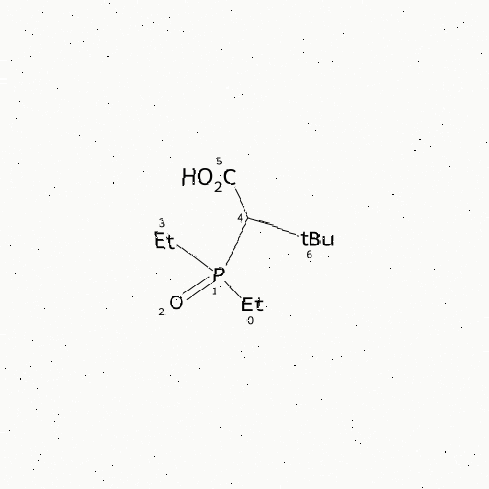 CCP(=O)(CC)C(C(=O)O)C(C)(C)C